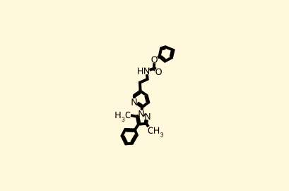 Cc1nn(-c2ccc(CCNC(=O)Oc3ccccc3)cn2)c(C)c1-c1ccccc1